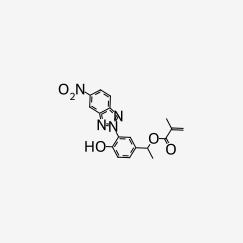 C=C(C)C(=O)OC(C)c1ccc(O)c(-n2nc3ccc([N+](=O)[O-])cc3n2)c1